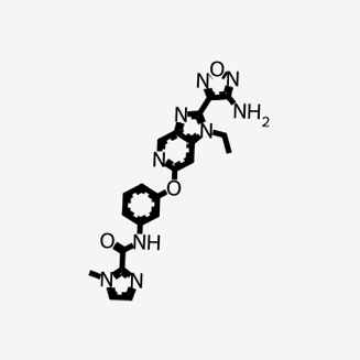 CCn1c(-c2nonc2N)nc2cnc(Oc3cccc(NC(=O)c4nccn4C)c3)cc21